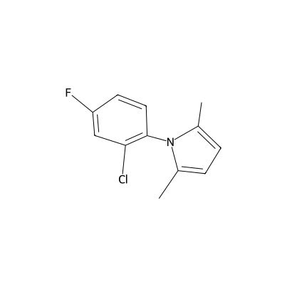 Cc1ccc(C)n1-c1ccc(F)cc1Cl